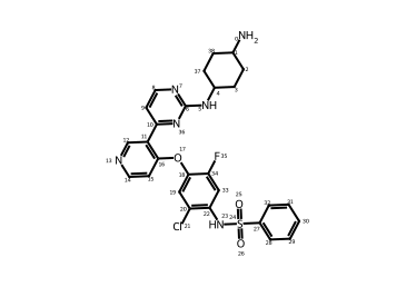 NC1CCC(Nc2nccc(-c3cnccc3Oc3cc(Cl)c(NS(=O)(=O)c4ccccc4)cc3F)n2)CC1